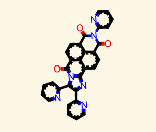 O=C1c2ccc3c(=O)n4c(-c5ccccn5)c(-c5ccccn5)nc4c4ccc(c2c34)C(=O)N1c1ccccn1